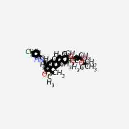 CC(C)C1=C2C3CCC4C(C)(CCC5C(C)(C)C(OC(=O)CC(C)(C)C(=O)OC(C)(C)C)CC[C@@]54C)[C@]3(C)CCC2(CCNCc2ccc(Cl)cc2)CC1=O